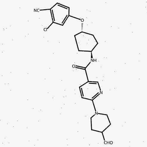 N#Cc1ccc(O[C@H]2CC[C@H](NC(=O)c3ccc(N4CCC(C=O)CC4)nc3)CC2)cc1Cl